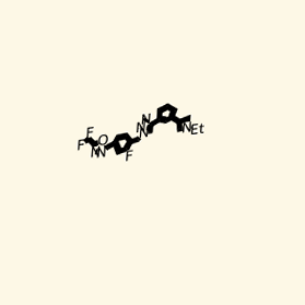 CCN1CC(c2cccc(-c3cn(Cc4ccc(-c5nnc(C(F)F)o5)cc4F)nn3)c2)C1